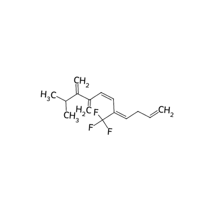 C=CC/C=C(\C=C/C(=C)C(=C)C(C)C)C(F)(F)F